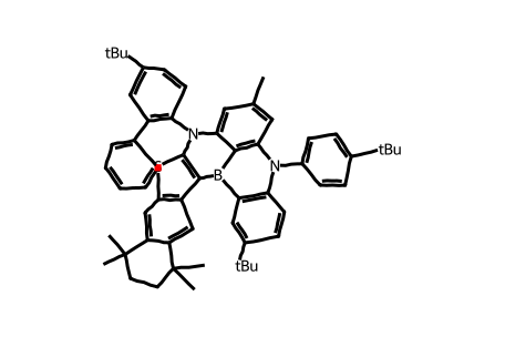 Cc1cc2c3c(c1)N(c1ccc(C(C)(C)C)cc1-c1ccccc1)c1sc4cc5c(cc4c1B3c1cc(C(C)(C)C)ccc1N2c1ccc(C(C)(C)C)cc1)C(C)(C)CCC5(C)C